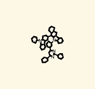 c1ccc(-c2cc(-c3cccc(-n4c5ccccc5c5cc6ccccc6c(-c6ccc7c(c6)c6ccccc6n7-c6ccccc6)c54)c3)nc(-c3ccccc3)n2)cc1